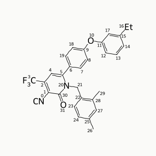 [C-]#[N+]c1c(C(F)(F)F)cc(-c2ccc(Oc3cccc(CC)c3)cc2)n(Cc2ccc(C)cc2C)c1=O